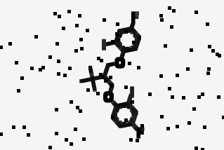 CC(C)(C)C(COc1ccc(F)cc1I)COc1ccc(F)cc1I